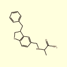 CC(NCc1ccc2c(c1)C(Cc1ccccc1)CS2)C(N)=O